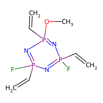 C=CP1(F)=NP(F)(C=C)=NP(C=C)(OC)=N1